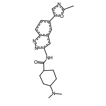 Cc1ncc(-c2ccc3nnc(NC(=O)C4CCC(N(C)C)CC4)cc3c2)o1